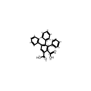 O=C(O)c1cc(-c2ccccc2)c(-c2ccccc2)c(-c2ccccc2)c1C(=O)O